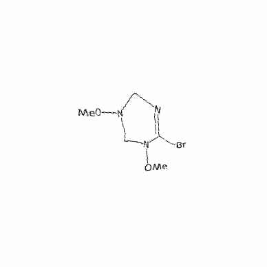 CON1CN=C(Br)N(OC)C1